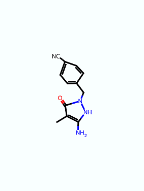 Cc1c(N)[nH]n(Cc2ccc(C#N)cc2)c1=O